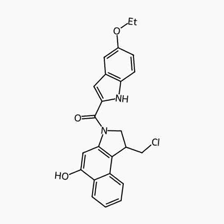 CCOc1ccc2[nH]c(C(=O)N3CC(CCl)c4c3cc(O)c3ccccc43)cc2c1